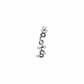 O=C(Nc1cnc2cc[nH]c2c1)N1CCN(Cc2ccc3c(c2)OC(F)(F)O3)CC1